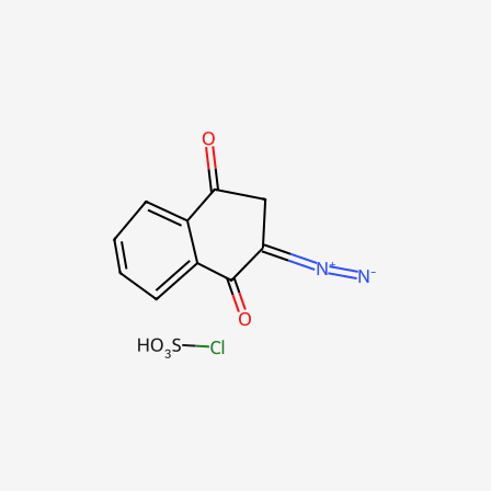 O=S(=O)(O)Cl.[N-]=[N+]=C1CC(=O)c2ccccc2C1=O